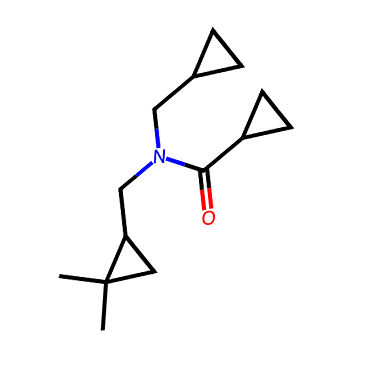 CC1(C)CC1CN(CC1CC1)C(=O)C1CC1